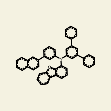 c1ccc(-c2cc(-c3ccccc3)cc(N(c3cccc(-c4ccc5ccccc5c4)c3)c3cccc4c3oc3ccccc34)c2)cc1